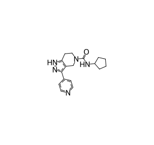 O=C(NC1CCCC1)N1CCc2[nH]nc(-c3ccncc3)c2C1